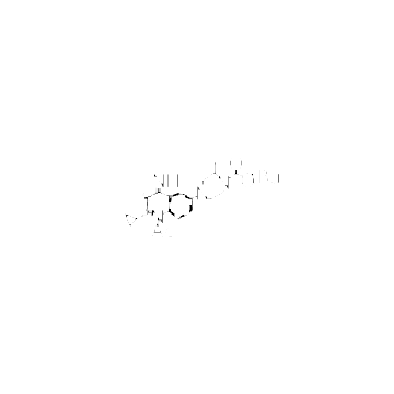 CC(=O)N1c2ccc(N3CCN(C(=O)OC(C)(C)C)C(C)C3)cc2[C@H](N)[C@@H](C)[C@@H]1C1CC1